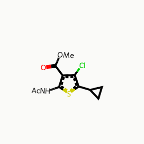 COC(=O)c1c(NC(C)=O)sc(C2CC2)c1Cl